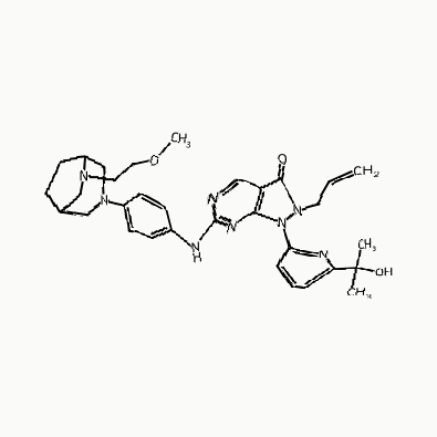 C=CCn1c(=O)c2cnc(Nc3ccc(N4CC5CCC(C4)N(CCOC)C5)cc3)nc2n1-c1cccc(C(C)(C)O)n1